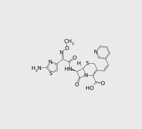 CO/N=C(\C(=O)N[C@@H]1C(=O)N2C(C(=O)O)=C(/C=C\c3cccnc3)CS[C@H]12)c1csc(N)n1